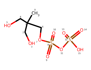 CC(CO)(CO)COS(=O)(=O)OS(=O)(=O)O